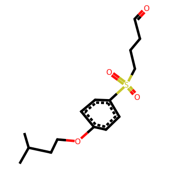 CC(C)CCOc1ccc(S(=O)(=O)CCCC=O)cc1